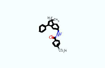 CC1(C)C=C(c2ccccc2)c2cc(NC(=O)c3ccc(C(=O)O)cc3)ccc21